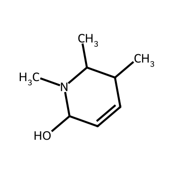 CC1C=CC(O)N(C)C1C